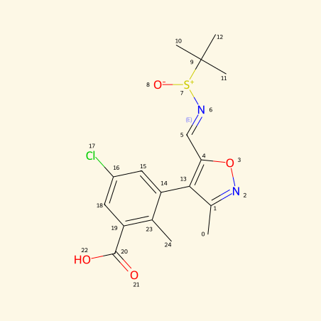 Cc1noc(/C=N/[S+]([O-])C(C)(C)C)c1-c1cc(Cl)cc(C(=O)O)c1C